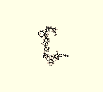 COc1ncc(-n2nc(-c3cnn(C[C@@H]4CC(COc5ncc(-n6nc(-c7cnn(C[C@H]8CCN(C)C8)c7)c7c6CCOCC7)cc5C)N(C)C4)c3)c3c2CCOCC3)cc1C